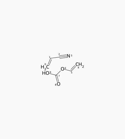 C=CC#N.C=COC(=O)O